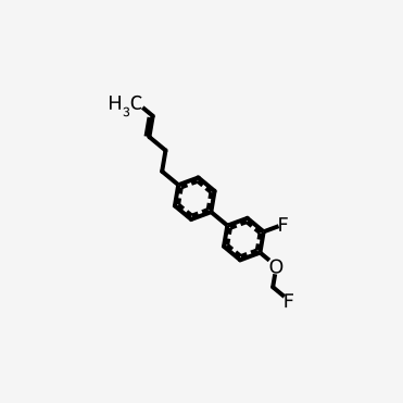 C/C=C/CCc1ccc(-c2ccc(OCF)c(F)c2)cc1